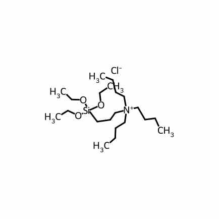 CCCC[N+](CCCC)(CCCC)CCC[Si](OCC)(OCC)OCC.[Cl-]